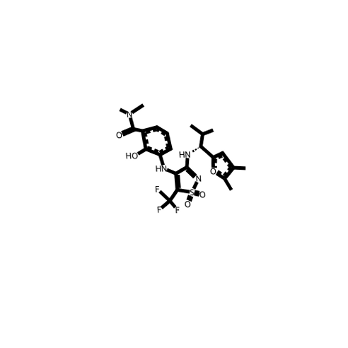 Cc1cc([C@H](NC2=NS(=O)(=O)C(C(F)(F)F)=C2Nc2cccc(C(=O)N(C)C)c2O)C(C)C)oc1C